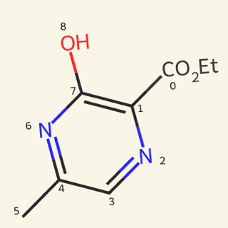 CCOC(=O)c1ncc(C)nc1O